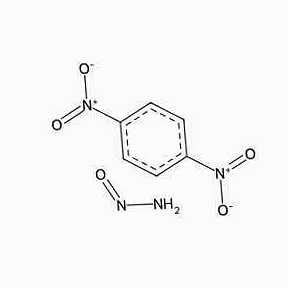 NN=O.O=[N+]([O-])c1ccc([N+](=O)[O-])cc1